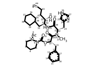 CC(=O)N1CCCCN1C(=O)O[C@@H](Cc1ccccc1)C(=O)N(C)[C@@H](Cc1c[nH]cn1)C(=O)N[C@@H](CC1CCCCC1)[C@@H](O)CCC(C)C